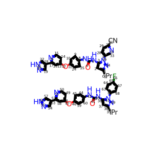 CC(C)c1cc(NC(=O)Nc2ccc(Oc3ccnc(-c4cn[nH]c4)c3)cc2)n(-c2ccc(C#N)nc2)n1.CC(C)c1cc(NC(=O)Nc2ccc(Oc3ccnc(-c4cn[nH]c4)c3)cc2)n(-c2ccc(F)cc2)n1